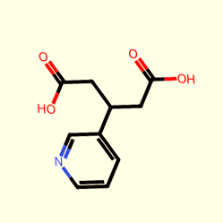 O=C(O)CC(CC(=O)O)c1cccnc1